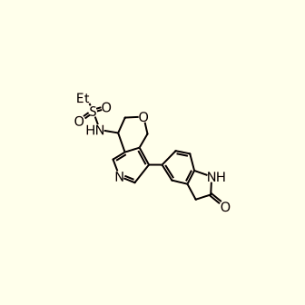 CCS(=O)(=O)NC1COCc2c(-c3ccc4c(c3)CC(=O)N4)cncc21